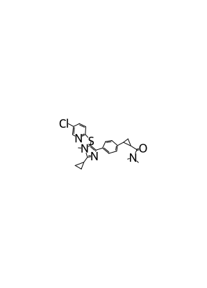 CN(C)C(=O)C1CC1c1ccc(-c2nc(C3CC3)n(C)c2Sc2ccc(Cl)cn2)cc1